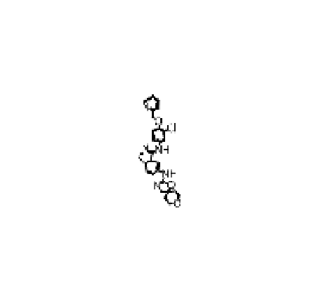 Clc1cc(NC2=NC=NC3C=CC(NC4=NCC5(CCOCC5)O4)=CC23)ccc1OCc1ccccn1